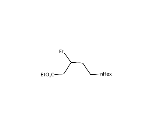 CCCCCCCCC(CC)CC(=O)OCC